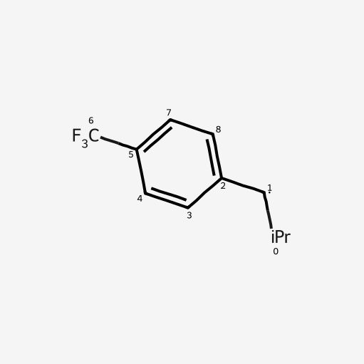 CC(C)[CH]c1ccc(C(F)(F)F)cc1